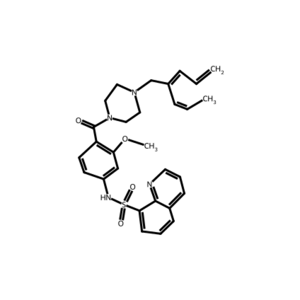 C=C/C=C(\C=C/C)CN1CCN(C(=O)c2ccc(NS(=O)(=O)c3cccc4cccnc34)cc2OC)CC1